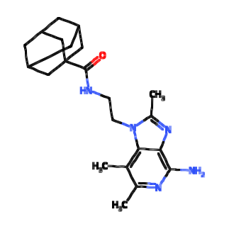 Cc1nc(N)c2nc(C)n(CCNC(=O)C34CC5CC(CC(C5)C3)C4)c2c1C